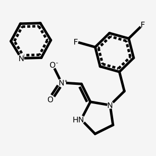 O=[N+]([O-])C=C1NCCN1Cc1cc(F)cc(F)c1.c1ccncc1